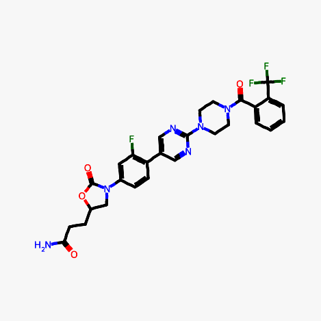 NC(=O)CCC1CN(c2ccc(-c3cnc(N4CCN(C(=O)c5ccccc5C(F)(F)F)CC4)nc3)c(F)c2)C(=O)O1